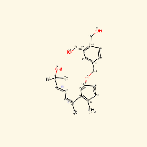 CC/C(=C/C=C/C(O)(CC)CC)c1cc(OCc2ccc(CO)c(CO)c2)ccc1C